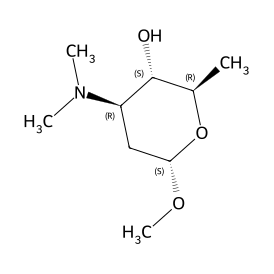 CO[C@@H]1C[C@@H](N(C)C)[C@H](O)[C@@H](C)O1